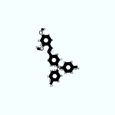 COc1ccc(/C=C/c2ccc(N(c3ccc(C)cc3)c3ccc(C)cc3)cc2)c(OC)c1